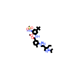 CCc1c(-c2cn(-c3cc(C(=O)Nc4cc(C(C)(C)C)cc(NS(C)(=O)=O)c4OC)ccc3C)nn2)cnn1C(C)C